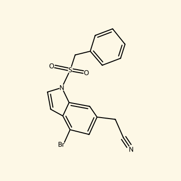 N#CCc1cc(Br)c2ccn(S(=O)(=O)Cc3ccccc3)c2c1